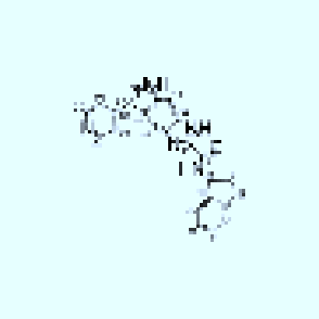 O=C(NC1CCc2ccccc21)c1nc2cc3c(-c4ccncc4)n[nH]c3cc2[nH]1